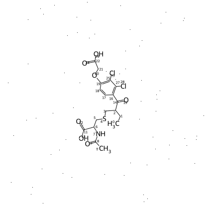 CCC(CSCC(NC(C)=O)C(=O)O)C(=O)c1ccc(OCC(=O)O)c(Cl)c1Cl